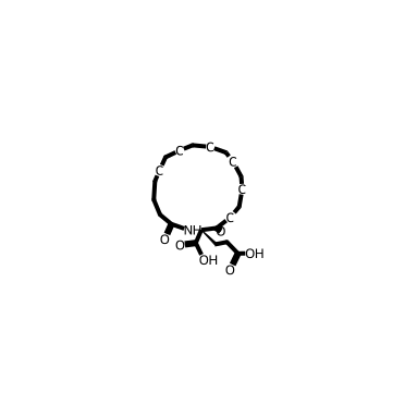 O=C(O)CC[C@@]1(C(=O)O)NC(=O)CCCCCCCCCCCCCCC1=O